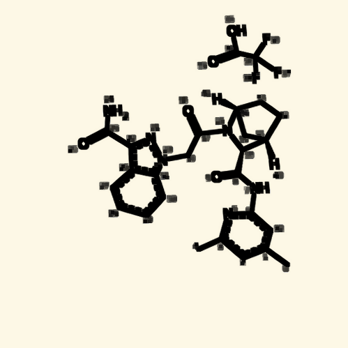 Cc1cc(C)nc(NC(=O)[C@@H]2[C@H]3CC[C@H](C3)N2C(=O)Cn2nc(C(N)=O)c3ccccc32)c1.O=C(O)C(F)(F)F